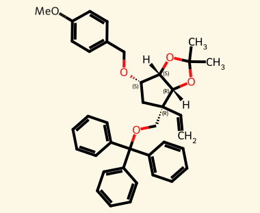 C=C[C@@]1(COC(c2ccccc2)(c2ccccc2)c2ccccc2)C[C@H](OCc2ccc(OC)cc2)[C@@H]2OC(C)(C)O[C@@H]21